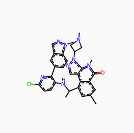 Cc1cc(C(C)Nc2ccc(Cl)nc2-c2ccc3c(cnn3C)c2)c2c(c1)c(=O)n(C)c1c2cnn1C1CN(C)C1